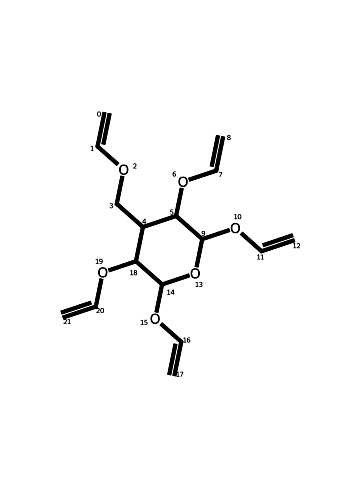 C=COCC1C(OC=C)C(OC=C)OC(OC=C)C1OC=C